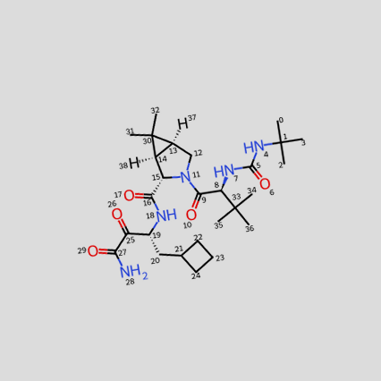 CC(C)(C)NC(=O)N[C@H](C(=O)N1C[C@H]2[C@@H]([C@H]1C(=O)N[C@H](CC1CCC1)C(=O)C(N)=O)C2(C)C)C(C)(C)C